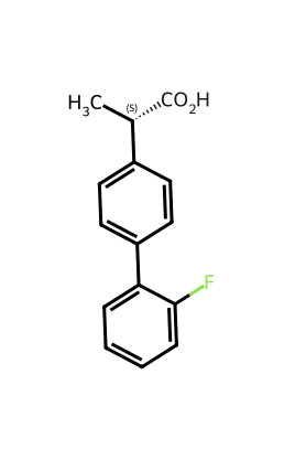 C[C@H](C(=O)O)c1ccc(-c2ccccc2F)cc1